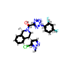 C[C@H]1c2ccccc2[C@@H](c2cnn(C)c2Cl)CN1C(=O)c1nnn(-c2ccc(F)cc2F)n1